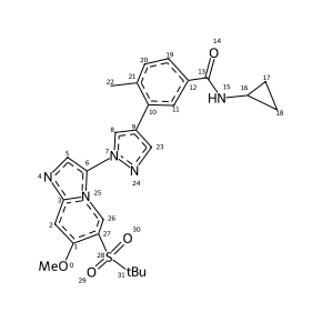 COc1cc2ncc(-n3cc(-c4cc(C(=O)NC5CC5)ccc4C)cn3)n2cc1S(=O)(=O)C(C)(C)C